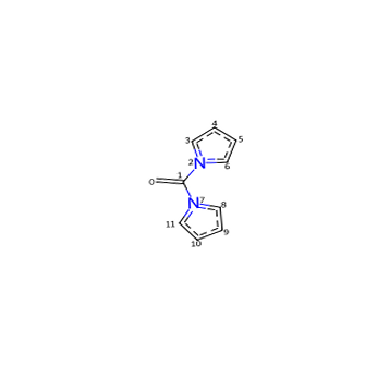 C=C(n1cccc1)n1cccc1